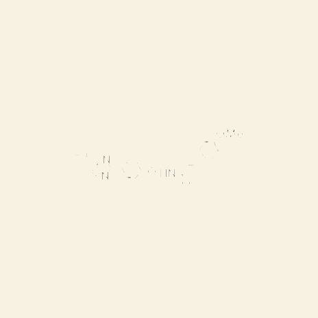 COc1ccc(C=CC(=O)NCC(C)Oc2ccc(-c3noc(C(F)(F)F)n3)cc2)cc1